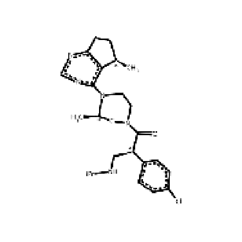 CC(C)NC[C@@H](C(=O)N1CCN(c2ncnc3c2[C@H](C)CC3)[C@H](C)C1)c1ccc(Cl)cc1